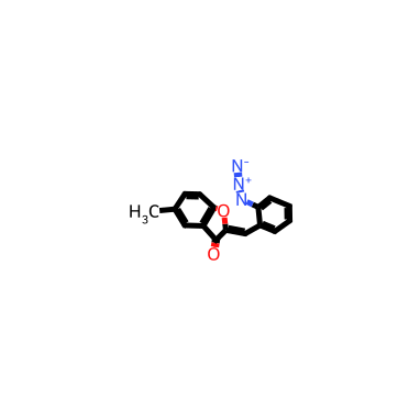 Cc1ccc2c(c1)C(=O)/C(=C/c1ccccc1N=[N+]=[N-])O2